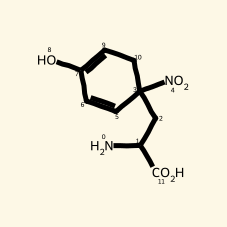 NC(CC1([N+](=O)[O-])C=CC(O)=CC1)C(=O)O